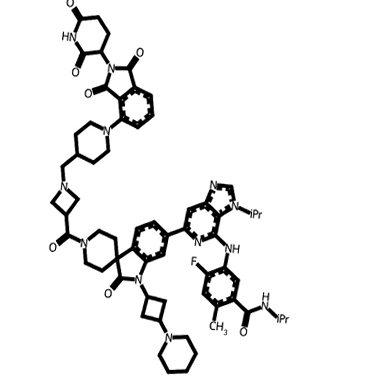 Cc1cc(F)c(Nc2nc(-c3ccc4c(c3)N(C3CC(N5CCCCC5)C3)C(=O)C43CCN(C(=O)C4CN(CC5CCN(c6cccc7c6C(=O)N(C6CCC(=O)NC6=O)C7=O)CC5)C4)CC3)cc3ncn(C(C)C)c23)cc1C(=O)NC(C)C